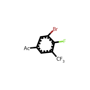 CC(=O)c1cc(Br)c(F)c(C(F)(F)F)c1